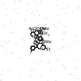 CCC1=C[C@H]2CN(C1)Cc1c([nH]c3ccc(I)cc13)[C@@](C(=O)OC)(c1cc3c(cc1OC)N(C)[C@H]1[C@@](OC)(C(=O)OC)[C@H](OC(C)=O)[C@]4(CC)C=CCN5CC[C@]31[C@@H]54)C2